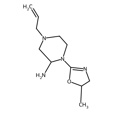 C=CCN1CCN(C2=NCC(C)O2)C(N)C1